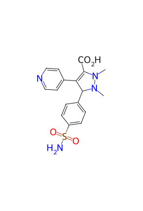 CN1C(C(=O)O)=C(c2ccncc2)C(c2ccc(S(N)(=O)=O)cc2)N1C